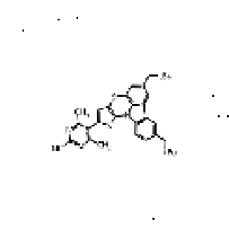 Cc1nc(C#N)nc(C)c1-c1cc2c(s1)-n1c3ccc(CC(C)(C)C)cc3c3cc(CC(C)(C)C)cc(c31)S2